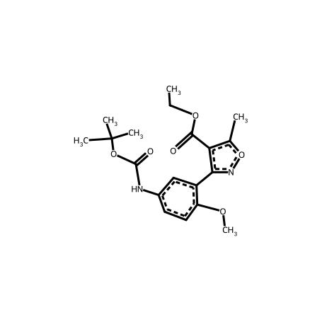 CCOC(=O)c1c(-c2cc(NC(=O)OC(C)(C)C)ccc2OC)noc1C